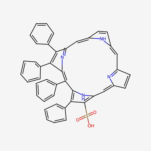 O=S(=O)(O)c1c(-c2ccccc2)c2[nH]c1cc1nc(cc3ccc(cc4nc(c2-c2ccccc2)C(c2ccccc2)=C4c2ccccc2)[nH]3)C=C1